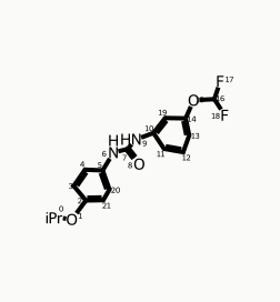 CC(C)Oc1ccc(NC(=O)Nc2cccc(OC(F)F)c2)cc1